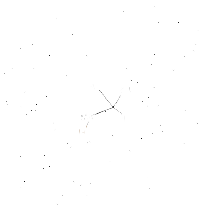 [2H][C]([2H])(C)[Mg][Br]